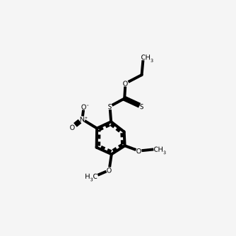 CCOC(=S)Sc1cc(OC)c(OC)cc1[N+](=O)[O-]